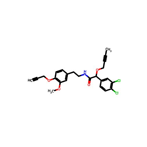 C#CCOc1ccc(CCNC(=O)C(OCC#CC)c2ccc(Cl)c(Cl)c2)cc1OC